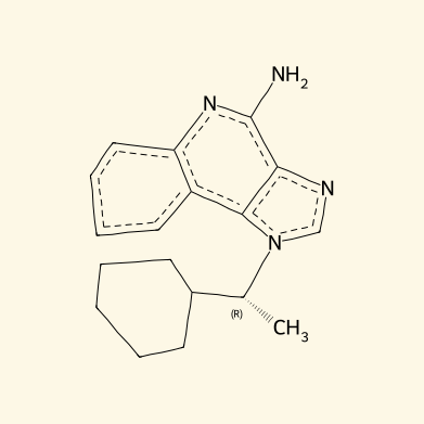 C[C@H](C1CCCCC1)n1cnc2c(N)nc3ccccc3c21